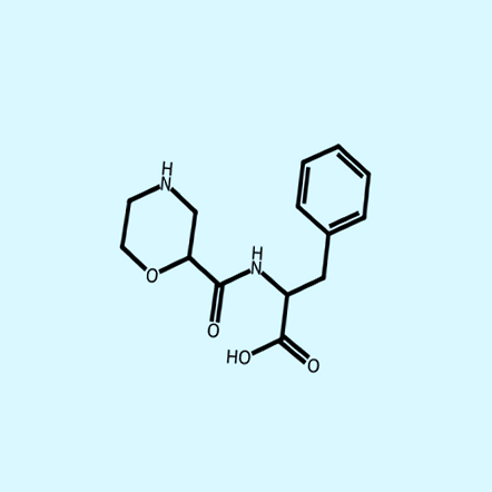 O=C(O)C(Cc1ccccc1)NC(=O)C1CNCCO1